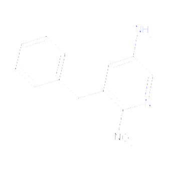 Nc1cnc([N+](=O)[O-])c(Cc2ccccc2)c1